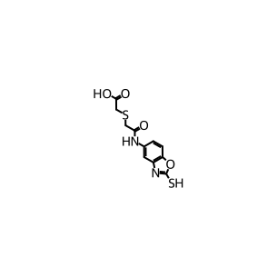 O=C(O)CSCC(=O)Nc1ccc2oc(S)nc2c1